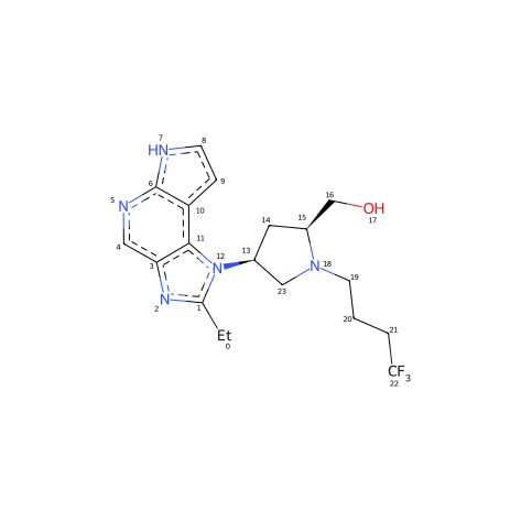 CCc1nc2cnc3[nH]ccc3c2n1[C@H]1C[C@@H](CO)N(CCCC(F)(F)F)C1